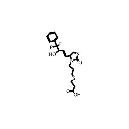 O=C(O)CCSCCCN1C(=O)SCC1C=CC(O)C(F)(F)c1ccccc1